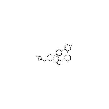 Cc1cnn(C2CCCN(c3cc(Cl)ccc3-c3ccc(N4CCN(CC56CC(F)(C5)C6)CC4)cc3)C2)c1C(F)F